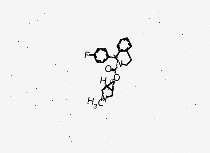 CN1CC2[C@H](C1)[C@H]2OC(=O)N1CCc2ccccc2[C@@H]1c1ccc(F)cc1